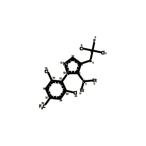 CCN(CC)c1c(SC(F)(Cl)Cl)cnn1-c1c(Cl)cc(C(F)(F)F)cc1Cl